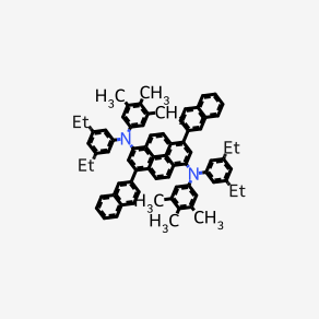 CCc1cc(CC)cc(N(c2cc(C)c(C)c(C)c2)c2cc(-c3ccc4ccccc4c3)c3ccc4c(N(c5cc(CC)cc(CC)c5)c5cc(C)c(C)c(C)c5)cc(-c5ccc6ccccc6c5)c5ccc2c3c54)c1